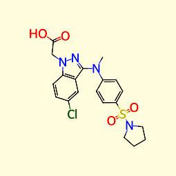 CN(c1ccc(S(=O)(=O)N2CCCC2)cc1)c1nn(CC(=O)O)c2ccc(Cl)cc12